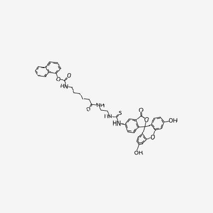 O=C(CCCCCNC(=O)Oc1cccc2ccccc12)NCCNC(=S)Nc1ccc2c(c1)C(=O)OC21c2ccc(O)cc2Oc2cc(O)ccc21